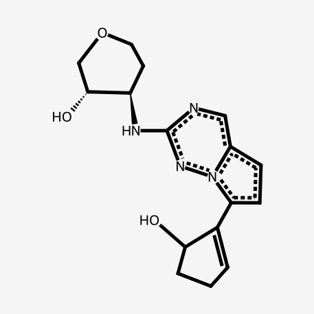 OC1CCC=C1c1ccc2cnc(N[C@@H]3CCOC[C@H]3O)nn12